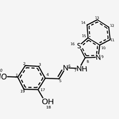 Oc1ccc(C=NNc2nc3ccccc3s2)c(O)c1